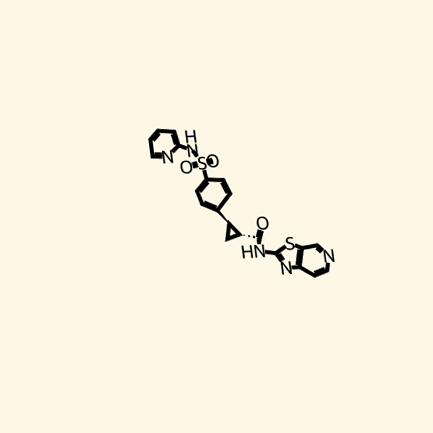 O=C(Nc1nc2ccncc2s1)[C@@H]1C[C@H]1c1ccc(S(=O)(=O)Nc2ccccn2)cc1